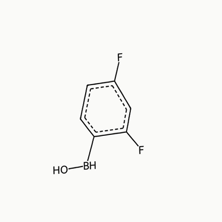 OBc1ccc(F)cc1F